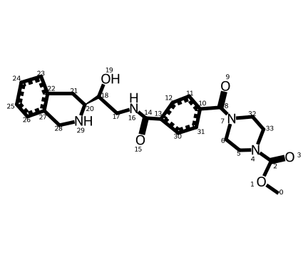 COC(=O)N1CCN(C(=O)c2ccc(C(=O)NCC(O)[C@@H]3Cc4ccccc4CN3)cc2)CC1